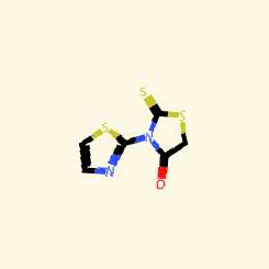 O=C1CSC(=S)N1c1nccs1